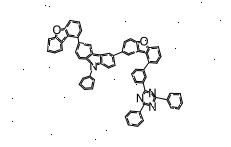 c1ccc(-c2nc(-c3ccccc3)nc(-c3cccc(-c4cccc5oc6ccc(-c7ccc8c(c7)c7cc(-c9cccc%10oc%11ccccc%11c9%10)ccc7n8-c7ccccc7)cc6c45)c3)n2)cc1